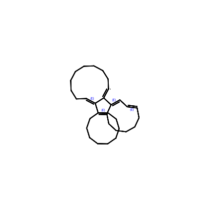 [C]1=C(/C2=C/C=C/CCCCCC2)C(/C2=C/CCCCCCCC2)=C/CCCCCCCC1